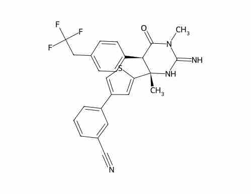 CN1C(=N)N[C@](C)(c2cc(-c3cccc(C#N)c3)cs2)[C@@H](c2ccc(CC(F)(F)F)cc2)C1=O